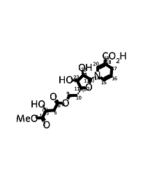 COC(=O)[C@@H](O)CC(=O)OCC[C@H]1O[C@@H](N2C=CCC(C(=O)O)=C2)[C@H](O)[C@@H]1O